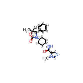 Cn1cncc1C(=O)N[C@H]1CC[C@H](N2C(=O)OC(C)(C)[C@@H]2c2ccccc2)CC1